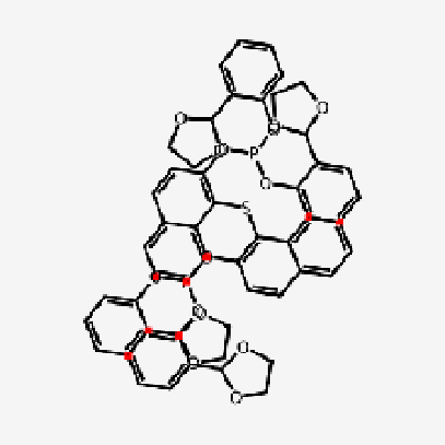 c1ccc(C2OCCO2)c(OP(Oc2ccccc2C2OCCO2)Oc2ccc3ccccc3c2Sc2c(OP(Oc3ccccc3C3OCCO3)Oc3ccccc3C3OCCO3)ccc3ccccc23)c1